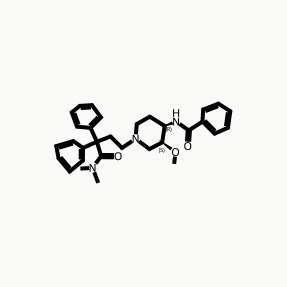 CO[C@H]1CN(CCC(C(=O)N(C)C)(c2ccccc2)c2ccccc2)CC[C@H]1NC(=O)c1ccccc1